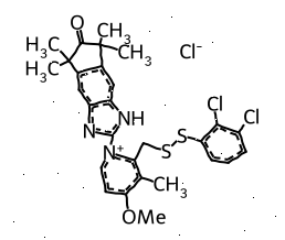 COc1cc[n+](-c2nc3cc4c(cc3[nH]2)C(C)(C)C(=O)C4(C)C)c(CSSc2cccc(Cl)c2Cl)c1C.[Cl-]